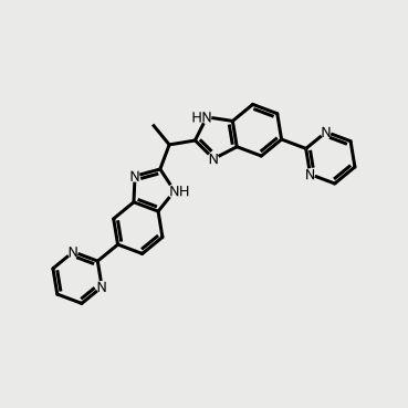 CC(c1nc2cc(-c3ncccn3)ccc2[nH]1)c1nc2cc(-c3ncccn3)ccc2[nH]1